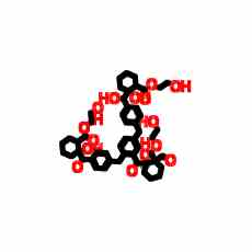 O=CC1(COCCO)CCCC[C@]1(O)C(=O)c1cc(Cc2ccc(C(O)C3(O)CCCCC3C(=O)OCCO)cc2)ccc1Cc1ccc(C(=O)C2(O)CCCCC2C(=O)OCCO)cc1